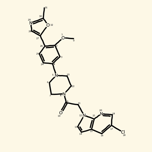 COc1cc(N2CCN(C(=O)Cn3ccc4cc(Cl)cnc43)CC2)ccc1-c1cnc(C)o1